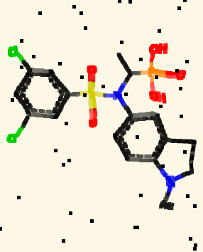 CC(=O)N1CCc2cc(N(C(C)P(=O)(O)O)S(=O)(=O)c3cc(Cl)cc(Cl)c3)ccc21